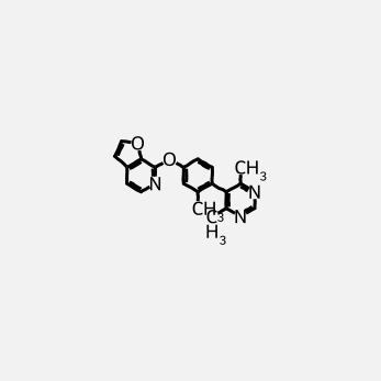 Cc1cc(Oc2nccc3ccoc23)ccc1-c1c(C)ncnc1C